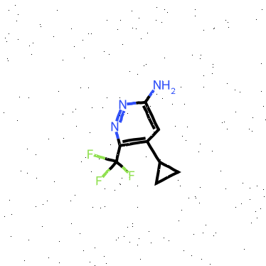 Nc1cc(C2CC2)c(C(F)(F)F)nn1